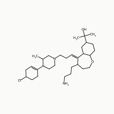 CC1CN(CC/C=C2\C(CCCN)CCOC3CCC(C(C)(C)O)CC23)CCN1C1=CCC(Cl)CC1